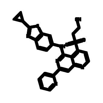 O=S(=O)(CCO)c1ccnc2cc(-c3ccccn3)nc(Nc3ccc4nc(C5CC5)sc4c3)c12